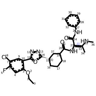 CCOc1cc(F)c(Cl)cc1-c1nnc([C@H]2CCCC(C(=O)N/C(C(=O)Nc3ccccc3)=C(\C)NC)C2)o1